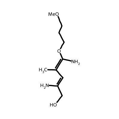 COCCCO/C(N)=C(C)/C=C(\N)CO